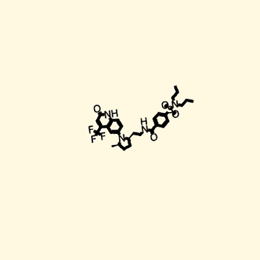 CCCN(CCC)S(=O)(=O)c1ccc(C(=O)NCC[C@H]2CC[C@@H](C)N2c2ccc3[nH]c(=O)cc(C(F)(F)F)c3c2)cc1